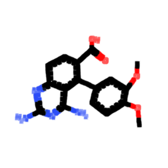 COc1ccc(-c2c(C(=O)O)ccc3nc(N)nc(N)c23)cc1OC